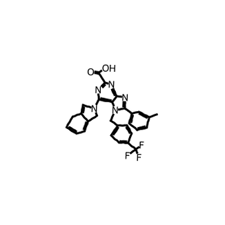 Cc1cccc(-c2nc3nc(C(=O)O)nc(N4C=C5CC=CC=C5C4)c3n2Cc2ccc(C(F)(F)F)cc2)c1